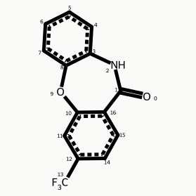 O=C1Nc2ccccc2Oc2cc(C(F)(F)F)ccc21